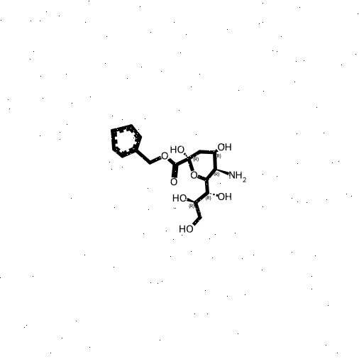 N[C@H]1C([C@H](O)[C@H](O)CO)O[C@@](O)(C(=O)OCc2ccccc2)C[C@H]1O